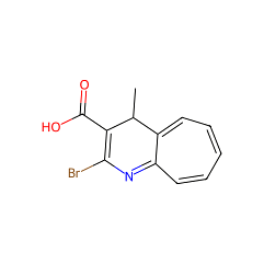 CC1C2=CC=CC=CC2=NC(Br)=C1C(=O)O